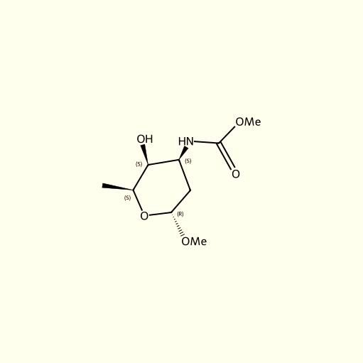 COC(=O)N[C@H]1C[C@H](OC)O[C@@H](C)[C@H]1O